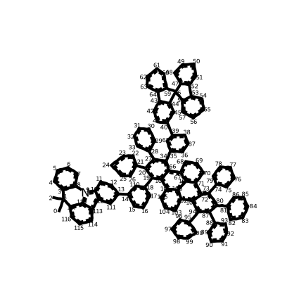 CC1(C)c2ccccc2-n2c3ccc(-c4cccc(-c5c(-c6ccccc6)c(-c6ccccc6)c(-c6cccc(-c7ccc8c(c7)C7(c9ccccc9-c9ccccc97)c7ccccc7-8)c6)c6c7cccc8c9c(-c%10ccccc%10)c(-c%10ccccc%10)c(-c%10ccccc%10)c(-c%10ccccc%10)c9c9cccc(c56)c9c87)c4)cc3c3cccc1c32